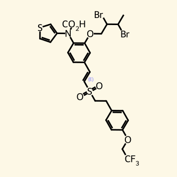 CC(Br)C(Br)COc1cc(/C=C/S(=O)(=O)CCc2ccc(OCC(F)(F)F)cc2)ccc1N(C(=O)O)c1ccsc1